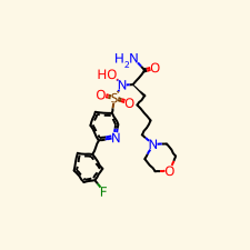 NC(=O)[C@@H](CCCCN1CCOCC1)N(O)S(=O)(=O)c1ccc(-c2cccc(F)c2)nc1